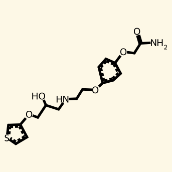 NC(=O)COc1ccc(OCCNCC(O)COc2ccsc2)cc1